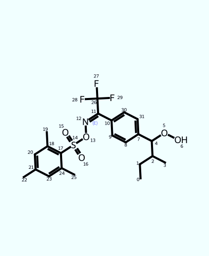 CCC(C)C(OO)c1ccc(/C(=N\OS(=O)(=O)c2c(C)cc(C)cc2C)C(F)(F)F)cc1